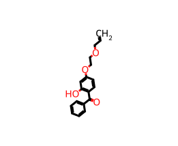 C=CCOCCOc1ccc(C(=O)c2ccccc2)c(O)c1